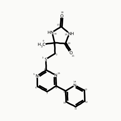 CC1(CSc2nccc(-c3ccccn3)n2)NC(=O)NC1=O